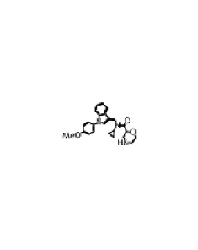 COc1ccc(-n2cc(CN(C(=O)C3CNCCO3)C3CC3)c3ccccc32)cc1